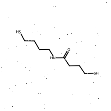 O=C(CCCS)NCCCCS